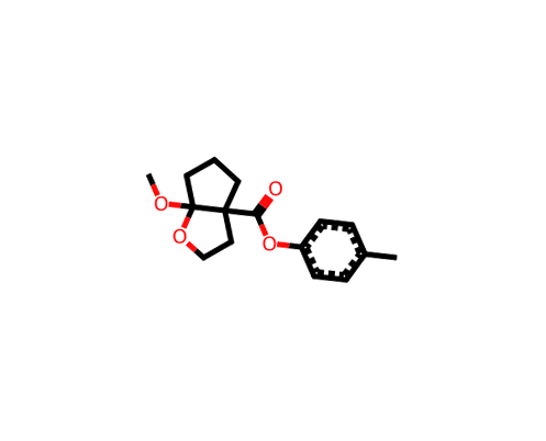 COC12CCCC1(C(=O)Oc1ccc(C)cc1)CCO2